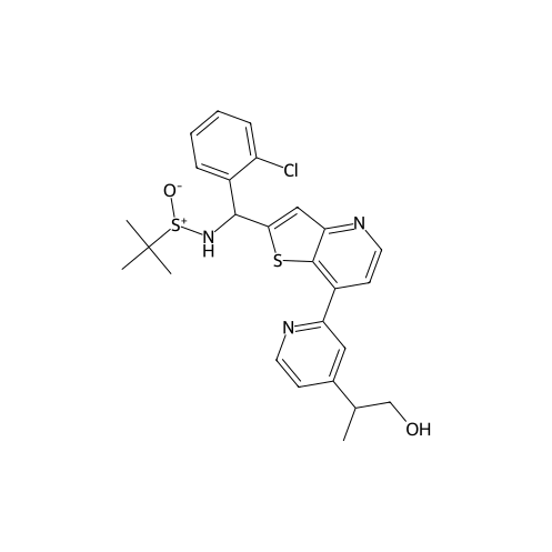 CC(CO)c1ccnc(-c2ccnc3cc(C(N[S+]([O-])C(C)(C)C)c4ccccc4Cl)sc23)c1